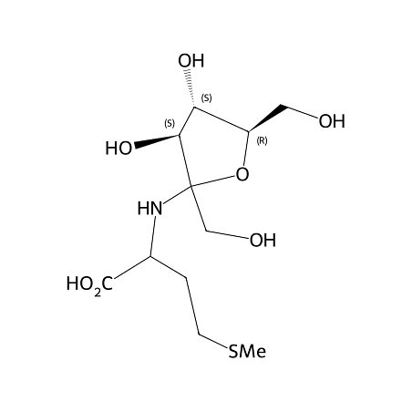 CSCCC(NC1(CO)O[C@H](CO)[C@@H](O)[C@@H]1O)C(=O)O